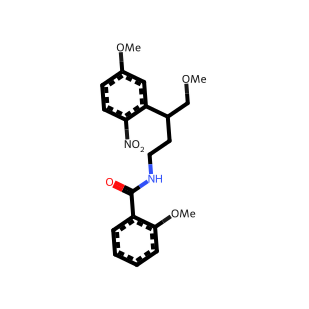 COCC(CCNC(=O)c1ccccc1OC)c1cc(OC)ccc1[N+](=O)[O-]